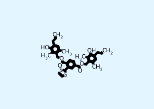 C=CCc1cc(C)c(COC(=O)c2ccc(C(=O)OCc3c(C)cc(CC=C)c(O)c3C)c(C3SC=CS3)c2)c(C)c1O